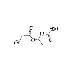 CC(C)CC(=O)OC(C)OC(=O)C(C)(C)C